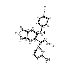 N/N=C(\c1cccc(O)c1)c1nc2nonc2nc1Nc1ccc(F)cc1